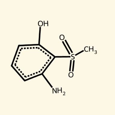 CS(=O)(=O)c1c(N)cccc1O